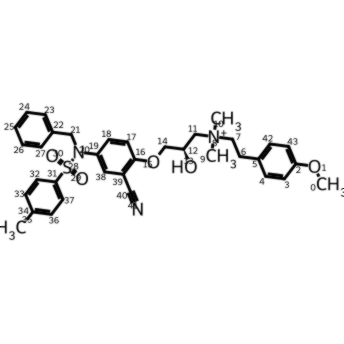 COc1ccc(CC[N+](C)(C)C[C@@H](O)COc2ccc(N(Cc3ccccc3)S(=O)(=O)c3ccc(C)cc3)cc2C#N)cc1